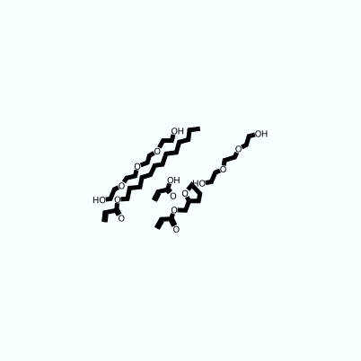 C=CC(=O)O.C=CC(=O)OCC1CCCO1.C=CC(=O)OCCCCCCCCCCCCC.OCCOCCOCCO.OCCOCCOCCOCCO